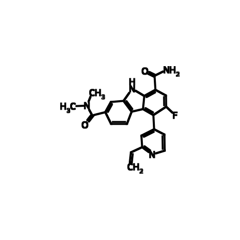 C=Cc1cc(-c2c(F)cc(C(N)=O)c3[nH]c4cc(C(=O)N(C)C)ccc4c23)ccn1